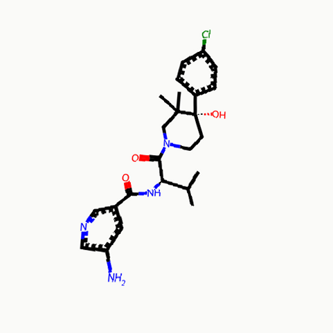 CC(C)[C@@H](NC(=O)c1cncc(N)c1)C(=O)N1CC[C@](O)(c2ccc(Cl)cc2)C(C)(C)C1